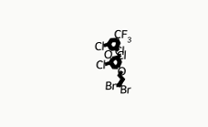 FC(F)(F)c1cc(Cl)c(Oc2c(Cl)cc(OCC=C(Br)Br)cc2Cl)c(Cl)c1